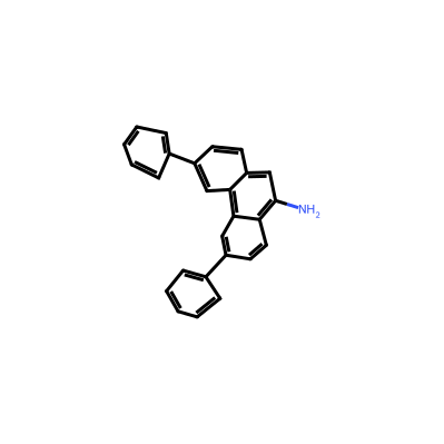 Nc1cc2ccc(-c3ccccc3)cc2c2cc(-c3ccccc3)ccc12